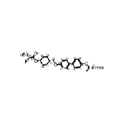 CCCCCC[C@H](C)Oc1ccc(-c2ccc(OC[C@H]3CC[C@H](OC(=O)[C@H](F)CCCC)CC3)cc2)cc1